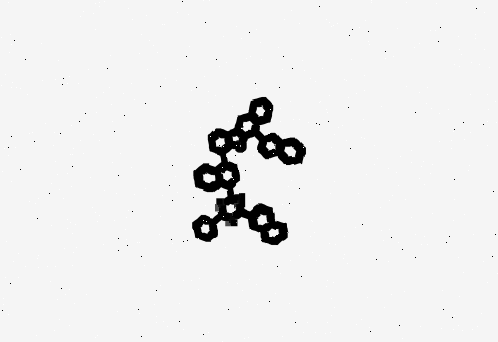 c1ccc(-c2nc(-c3ccc4ccccc4c3)nc(-c3ccc(-c4cccc5c4oc4c(-c6ccc7ccccc7c6)c6ccccc6cc45)c4ccccc34)n2)cc1